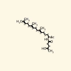 C=C(O)CCC(=O)N[C@@H](CSC/C=C(\C)CC/C=C(\C)CCC=C(C)C)C(C)=O